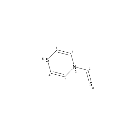 S=CN1C=CSC=C1